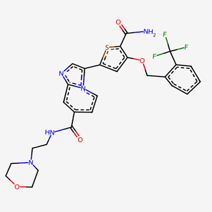 NC(=O)c1sc(-c2cnc3cc(C(=O)NCCN4CCOCC4)ccn23)cc1OCc1ccccc1C(F)(F)F